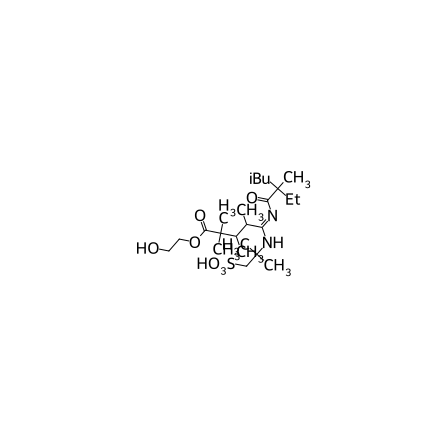 CCC(C)C(C)(CC)C(=O)/N=C(/NC(C)(C)CS(=O)(=O)O)C(C)C(C)C(C)(C)C(=O)OCCO